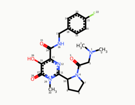 CN(C)CC(=O)N1CCCC1c1nc(C(=O)NCc2ccc(F)cc2)c(O)c(=O)n1C